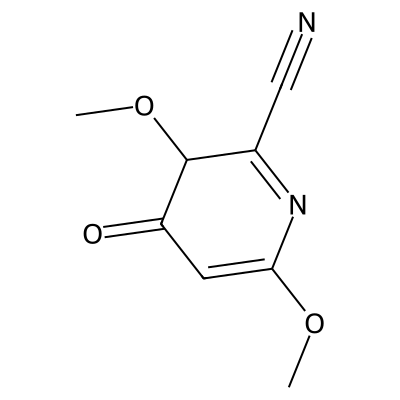 COC1=CC(=O)C(OC)C(C#N)=N1